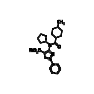 CCOC(=O)c1cn(-c2ccccc2)nc1N(C(=O)C1CCC(C)CC1)C1CCCC1